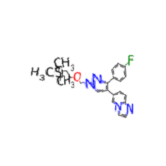 C[Si](C)(C)CCOCn1cc(-c2ccc3nccn3c2)c(-c2ccc(F)cc2)n1